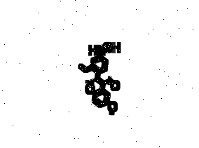 CCc1cc(NO)ccc1[C@@H]([C]=O)[C@@H]([C]=O)c1cccc(OC)c1